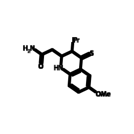 COc1ccc2c(c1)C(=S)C(C(C)C)C(CC(N)=O)N2